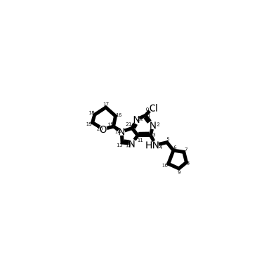 Clc1nc(NCC2CCCC2)c2ncn(C3CCCCO3)c2n1